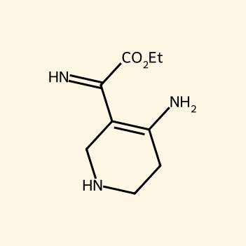 CCOC(=O)C(=N)C1=C(N)CCNC1